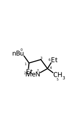 CCCCC(CC)CC(C)(CC)NC